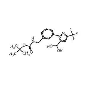 CC(C)(C)OC(=O)NCc1cccc(-n2nc(C(F)(F)F)cc2C(O)O)c1